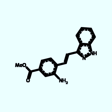 COC(=O)c1ccc(C=Cc2n[nH]c3ccccc23)c(N)c1